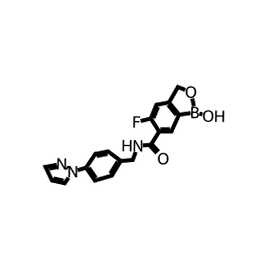 O=C(NCc1ccc(-n2cccn2)cc1)c1cc2c(cc1F)COB2O